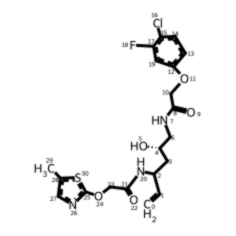 C=CC(C[C@H](O)CNC(=O)COc1ccc(Cl)c(F)c1)NC(=O)COc1ncc(C)s1